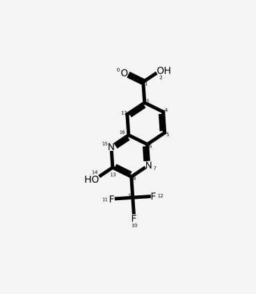 O=C(O)c1ccc2nc(C(F)(F)F)c(O)nc2c1